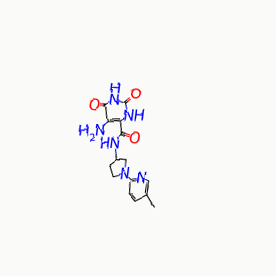 Cc1ccc(N2CCC(NC(=O)c3[nH]c(=O)[nH]c(=O)c3N)C2)nc1